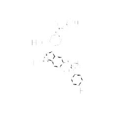 C[C@H]1CN(C(=O)OC(C)(C)C)CC[C@H]1c1cn(C)c2ccc(NS(=O)(=O)c3ccc(F)cc3)cc12